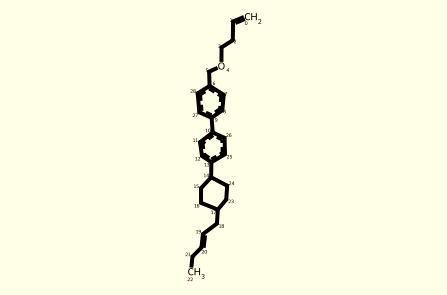 C=CCCOCc1ccc(-c2ccc(C3CCC(CC=CCC)CC3)cc2)cc1